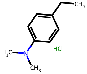 CCc1ccc(N(C)C)cc1.Cl